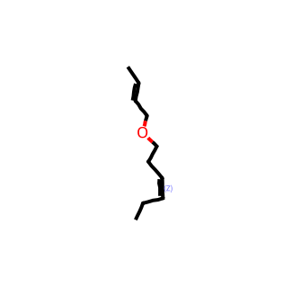 CC=CCOCC/C=C\CC